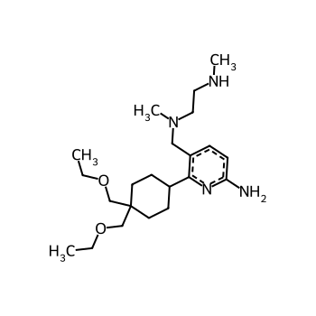 CCOCC1(COCC)CCC(c2nc(N)ccc2CN(C)CCNC)CC1